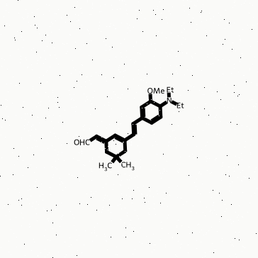 CCN(CC)C1C=CC(/C=C/C2=CC(=C/C=O)/CC(C)(C)C2)=CC1OC